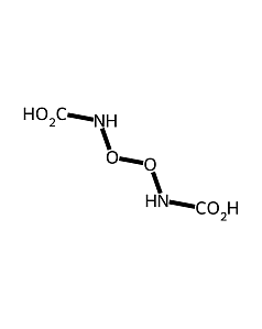 O=C(O)NOONC(=O)O